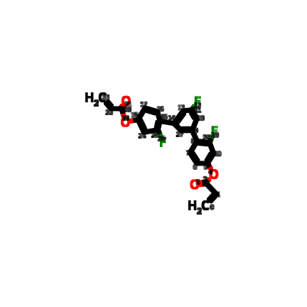 C=CC(=O)Oc1ccc(-c2cc(F)cc(-c3ccc(OC(=O)C=C)cc3F)c2)c(F)c1